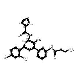 N#Cc1c(-c2cccc(NC(=O)CCN)c2)cc(-c2ccc(Br)cc2O)nc1NC(=O)c1cccs1